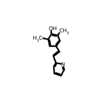 Cc1cc(C=Cc2ccccn2)cc(C)c1O